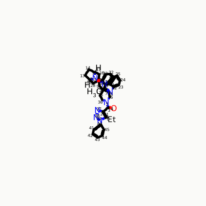 CCc1c(C(=O)N2CCC(CCN3[C@@H]4CC[C@H]3CC(n3c(C)nc5ccccc53)C4)(c3ccccc3)CC2)nnn1-c1ccccc1